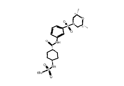 C[C@@H]1CN(S(=O)(=O)c2cccc(NC(=O)[C@H]3CC[C@H](NS(=O)(=O)C(C)(C)C)CC3)c2)C[C@H](C)O1